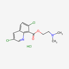 CN(C)CCOC(=O)c1c(Cl)ccc2cc(Cl)cnc12.Cl